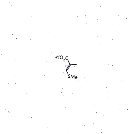 CS/C=C(\C)C(=O)O